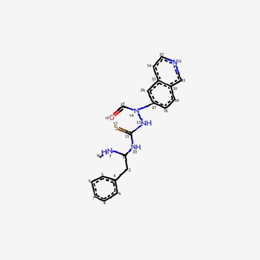 CNC(Cc1ccccc1)NC(=S)NN(C=O)c1ccc2cnccc2c1